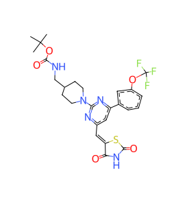 CC(C)(C)OC(=O)NCC1CCN(c2nc(/C=C3\SC(=O)NC3=O)cc(-c3cccc(OC(F)(F)F)c3)n2)CC1